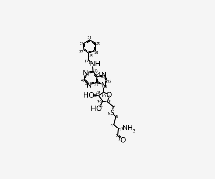 NC(C=O)CCSCC1OC(n2cnc3c(NCc4ccccc4)ncnc32)C(O)C1O